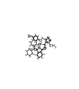 Cn1nnc(COc2ccc(Br)c3c2[C@@H](CN2Cc4ccccc4C2=O)N(C(=O)C2CCCCC2)CC3)c1C(F)F